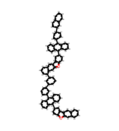 c1cc(-c2cccc(-c3c4ccccc4c(-c4ccc5oc6cc7ccccc7cc6c5c4)c4ccccc34)c2)cc(-c2cccc3cc4c(cc23)oc2ccc(-c3c5ccccc5c(-c5ccc(-c6ccc7ccccc7c6)cc5)c5ccccc35)cc24)c1